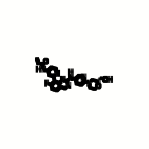 C=CC(=O)Nc1ccnc(-c2c(F)ccc3cnc(Nc4ccc(N5CCO[C@@H](CO)C5)nc4)nc23)c1